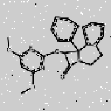 COc1cc(OC)nc(OC2C(=O)N3CCc4ccccc4C23c2ccccc2)n1